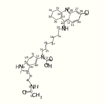 CC(=O)NCCc1c[nH]c2ccc(N(CCCCCCCNc3c4c(nc5cc(Cl)ccc35)CCCC4)C(=O)O)cc12